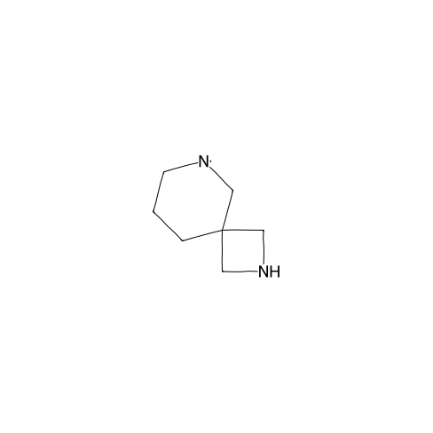 C1C[N]CC2(C1)CNC2